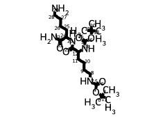 CC(C)(C)OC(=O)NCCCCC(NC(=O)OC(C)(C)C)C(=O)NC(CCCCN)C(N)=O